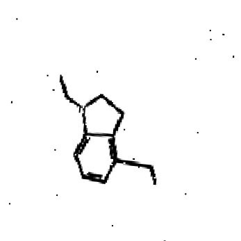 CCc1cccc2c1CCN2CC